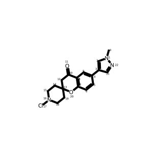 Cn1cc(-c2ccc3c(c2)C(=O)CC2(CCN(Cl)CC2)O3)cn1